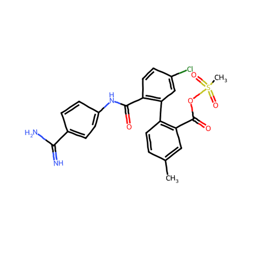 Cc1ccc(-c2cc(Cl)ccc2C(=O)Nc2ccc(C(=N)N)cc2)c(C(=O)OS(C)(=O)=O)c1